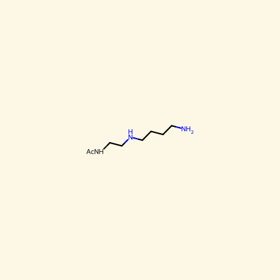 CC(=O)NCCNCCCCN